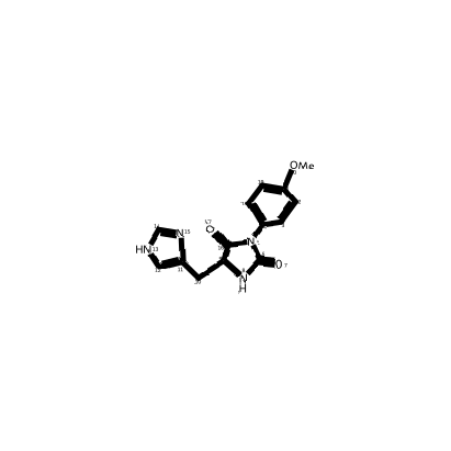 COc1ccc(N2C(=O)NC(Cc3c[nH]cn3)C2=O)cc1